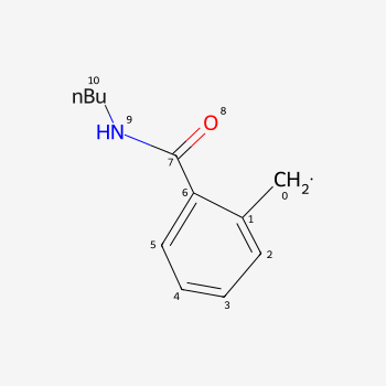 [CH2]c1ccccc1C(=O)NCCCC